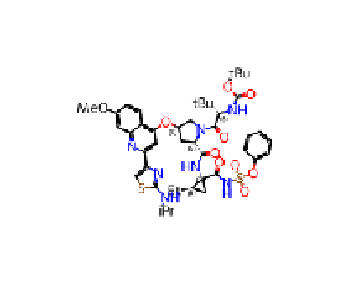 CC[C@@H]1C[C@]1(NC(=O)[C@@H]1C[C@@H](Oc2cc(-c3csc(NC(C)C)n3)nc3cc(OC)ccc23)CN1C(=O)[C@@H](NC(=O)OC(C)(C)C)C(C)(C)C)C(=O)NS(=O)(=O)Oc1ccccc1